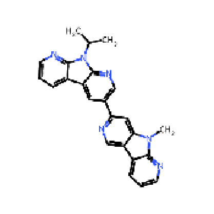 CC(C)n1c2ncccc2c2cc(-c3cc4c(cn3)c3cccnc3n4C)cnc21